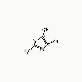 Cc1nc(C#N)c(C#N)s1